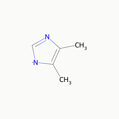 CC1=C(C)N=C[N]1